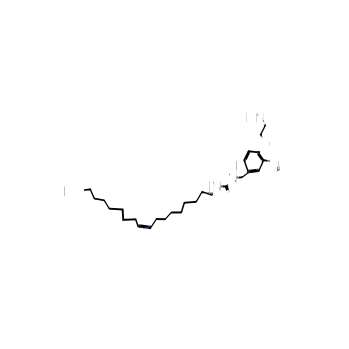 CCCCCCCC/C=C\CCCCCCCCNC(=S)NCc1ccc(OCCN)c(OC)c1